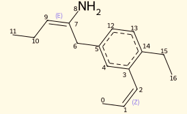 C/C=C\c1cc(C/C(N)=C\CC)ccc1CC